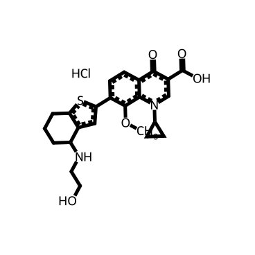 COc1c(-c2cc3c(s2)CCCC3NCCO)ccc2c(=O)c(C(=O)O)cn(C3CC3)c12.Cl